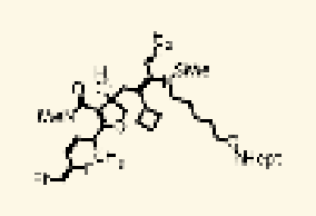 C=C/C(=C(\CC1(C)COC(C(C)/C=C\C(F)=C/CC)=C1C(=O)NC)C1CCC1)N(CCCCCOCCCCCCC)SC